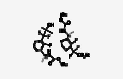 CCOC(=O)C(F)(F)c1cccc([C@@H](C)NC(=O)OC(C)(C)C)c1F.C[C@@H](NC(=O)OC(C)(C)C)c1cccc(C(F)(F)C(C)(C)O)c1F